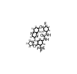 O=C(Nc1ccc(F)c(Oc2ccc3ncc(CN4CCCC4)nc3c2)c1)Nc1ccc(Cl)c(C(F)(F)F)c1